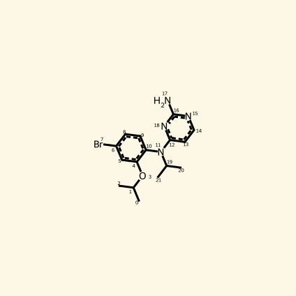 CC(C)Oc1cc(Br)ccc1N(c1ccnc(N)n1)C(C)C